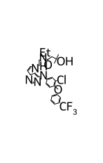 CCN(CCn1ccc2ncnc(Nc3ccc(Oc4cccc(C(F)(F)F)c4)c(Cl)c3)c21)C(=O)CC(C)(C)O